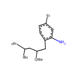 CCCC(CC(Cc1ccc(CC)cc1N)OC)C(C)CC